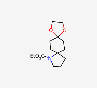 CCOC(=O)N1CCCC12CCC1(CC2)OCCO1